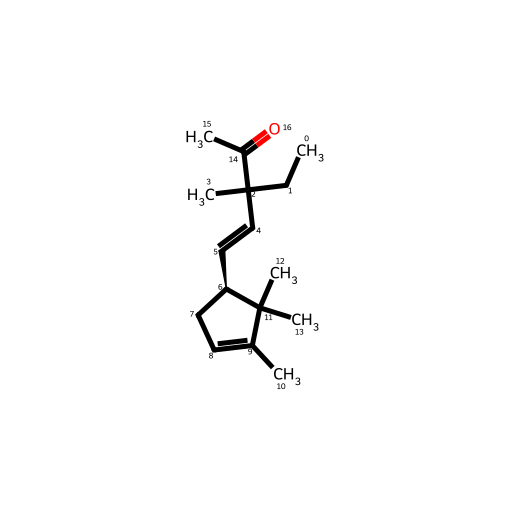 CCC(C)(/C=C/[C@@H]1CC=C(C)C1(C)C)C(C)=O